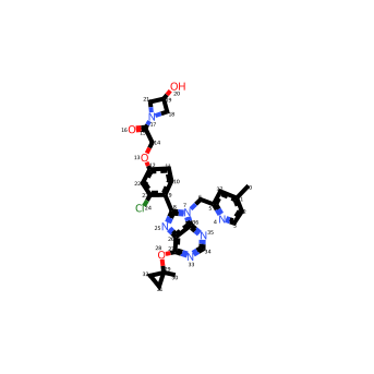 Cc1ccnc(Cn2c(-c3ccc(OCC(=O)N4CC(O)C4)cc3Cl)nc3c(OC4(C)CC4)ncnc32)c1